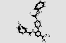 CC(C)c1ccc(NC(=O)c2cccnc2)c(N2CCN(C(=O)Nc3ccccc3)CC2)c1